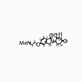 CNCCOc1ccc2c(c1)CN(C1CCC(=O)NC1=O)C2=O